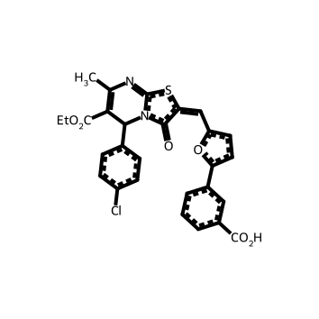 CCOC(=O)C1=C(C)N=c2sc(=Cc3ccc(-c4cccc(C(=O)O)c4)o3)c(=O)n2C1c1ccc(Cl)cc1